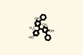 Cc1cc(O)c(C2CCCCC2)cc1C(c1ccc(O)cc1)c1cc(C2CCCCC2)c(O)cc1C